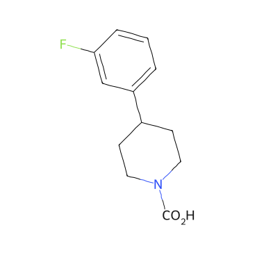 O=C(O)N1CCC(c2cccc(F)c2)CC1